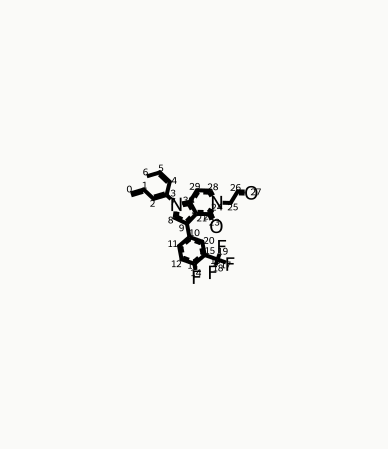 C=C/C=C(\C=C/C)n1cc(-c2ccc(F)c(C(F)(F)F)c2)c2c(=O)n(CC=O)ccc21